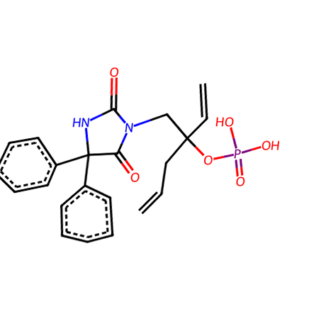 C=CCC(C=C)(CN1C(=O)NC(c2ccccc2)(c2ccccc2)C1=O)OP(=O)(O)O